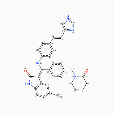 O=C1Nc2ccc([N+](=O)[O-])cc2C1=C(Nc1ccc(C=Cc2c[nH]cn2)cc1)c1ccc(CN2CCCCC2=O)cc1